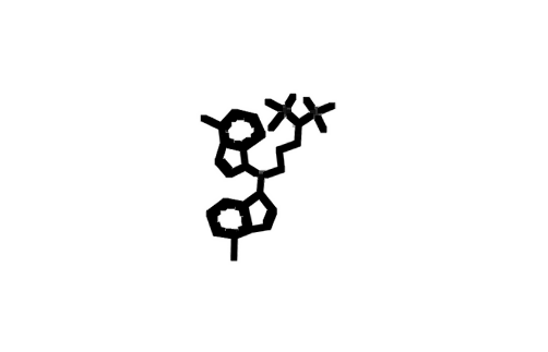 Cc1cccc2c1C=C[CH]2[Y]([CH2]CC[C]([Si](C)(C)C)[Si](C)(C)C)[CH]1C=Cc2c(C)cccc21